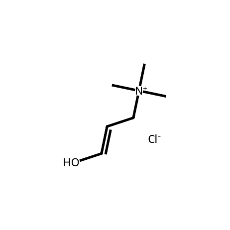 C[N+](C)(C)CC=CO.[Cl-]